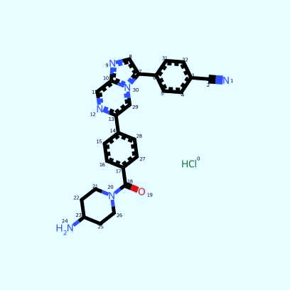 Cl.N#Cc1ccc(-c2cnc3cnc(-c4ccc(C(=O)N5CCC(N)CC5)cc4)cn23)cc1